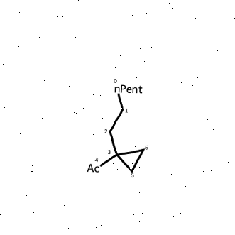 CCCCCCCC1(C(C)=O)CC1